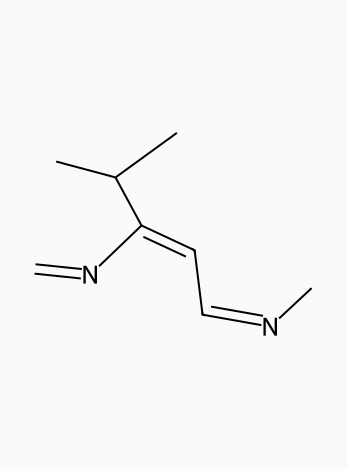 C=N/C(=C\C=N/C)C(C)C